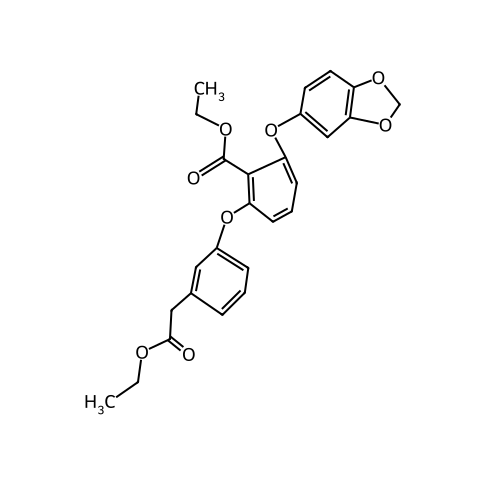 CCOC(=O)Cc1cccc(Oc2cccc(Oc3ccc4c(c3)OCO4)c2C(=O)OCC)c1